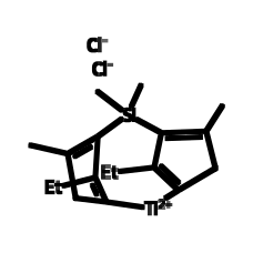 CCC1=[C]2CC(C)=C1[Si](C)(C)C1=C(C)C[C](=C1CC)[Ti+2]2.[Cl-].[Cl-]